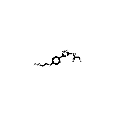 COCCOc1ccc(-c2nnc(NC(=O)CCl)s2)cc1